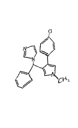 Cn1cc(-c2ccc(Cl)cc2)c(C(c2ccccc2)n2ccnc2)c1